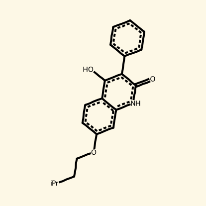 CC(C)CCOc1ccc2c(O)c(-c3ccccc3)c(=O)[nH]c2c1